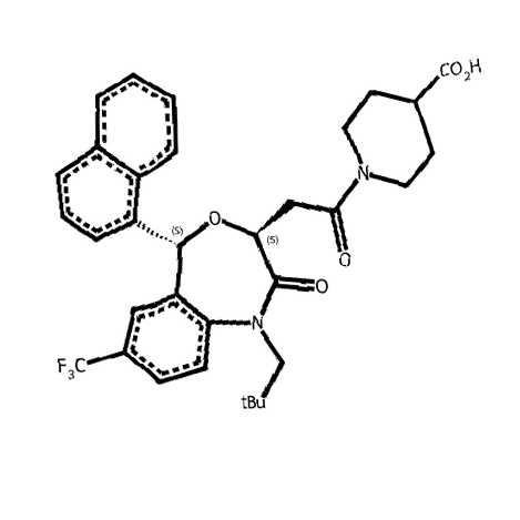 CC(C)(C)CN1C(=O)[C@H](CC(=O)N2CCC(C(=O)O)CC2)O[C@@H](c2cccc3ccccc23)c2cc(C(F)(F)F)ccc21